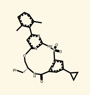 Cc1cccc(C)c1-c1cc2nc(n1)NS(=O)(=O)c1cc(cc(C3CC3)c1)C(=O)N[C@H](CC(C)C)CO2